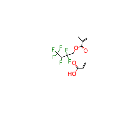 C=C(C)C(=O)OCC(F)(F)C(F)C(F)(F)F.C=CC(=O)O